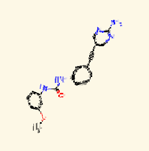 COc1cccc(NC(=O)Nc2cccc(C#Cc3cnc(N)nc3)c2)c1